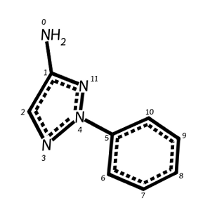 Nc1cnn(-c2ccccc2)n1